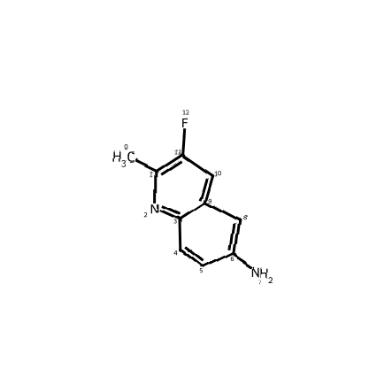 Cc1nc2ccc(N)cc2cc1F